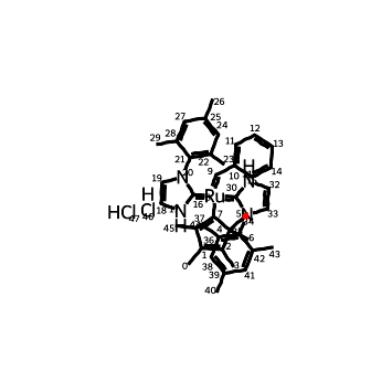 CC1=C(C)C(C)(C)[C]([Ru](=[CH]c2ccccc2)(=[c]2[nH]ccn2-c2c(C)cc(C)cc2C)=[c]2[nH]ccn2-c2c(C)cc(C)cc2C)=C1C.Cl.Cl